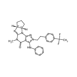 CN1C(=O)c2c(nn(CCc3ccc(C(C)(F)F)cc3)c2Nc2ccccc2)N2C1=N[C@@H]1CCC[C@@H]12